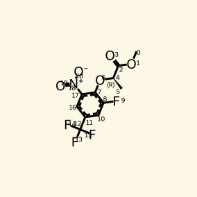 COC(=O)[C@@H](C)Oc1c(F)cc(C(F)(F)F)cc1[N+](=O)[O-]